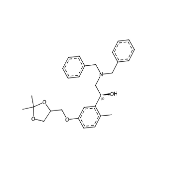 Cc1ccc(OCC2COC(C)(C)O2)cc1[C@H](O)CN(Cc1ccccc1)Cc1ccccc1